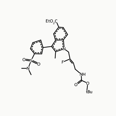 CCOC(=O)c1ccc2c(c1)c(-c1cccc(S(=O)(=O)N(C)C)c1)c(C)n2C/C(F)=C/CNC(=O)OC(C)(C)C